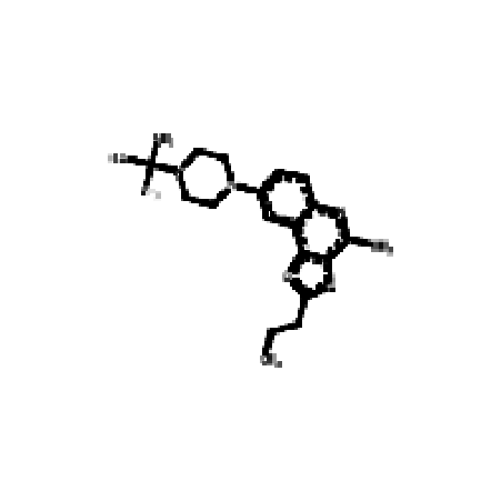 CCCc1nc2c(N)nc3ccc(N4CCN(C(C)(C)C)CC4)cc3c2o1